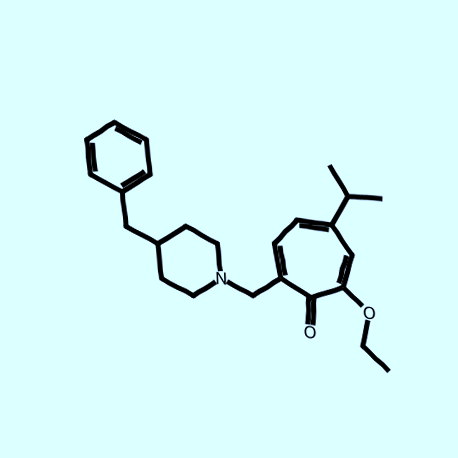 CCOc1cc(C(C)C)ccc(CN2CCC(Cc3ccccc3)CC2)c1=O